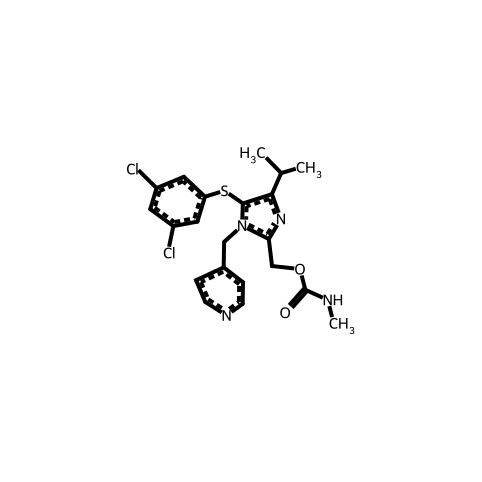 CNC(=O)OCc1nc(C(C)C)c(Sc2cc(Cl)cc(Cl)c2)n1Cc1ccncc1